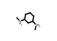 C[SiH2]C1CCCC([SiH2]C)C1